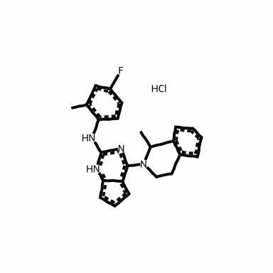 Cc1cc(F)ccc1Nc1nc(N2CCc3ccccc3C2C)c2cccc-2[nH]1.Cl